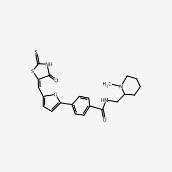 CN1CCCCC1CNC(=O)c1ccc(-c2ccc(C=C3SC(=S)NC3=O)o2)cc1